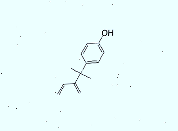 C=CC(=C)C(C)(C)c1ccc(O)cc1